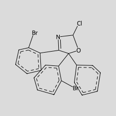 ClC1N=C(c2ccccc2Br)C(c2ccccc2)(c2ccccc2Br)O1